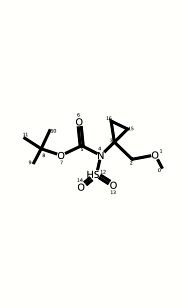 COCC1(N(C(=O)OC(C)(C)C)[SH](=O)=O)CC1